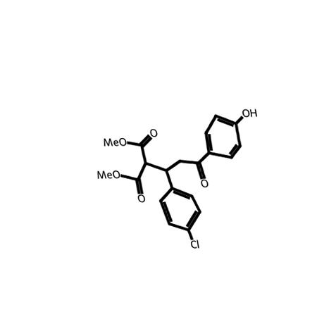 COC(=O)C(C(=O)OC)C(CC(=O)c1ccc(O)cc1)c1ccc(Cl)cc1